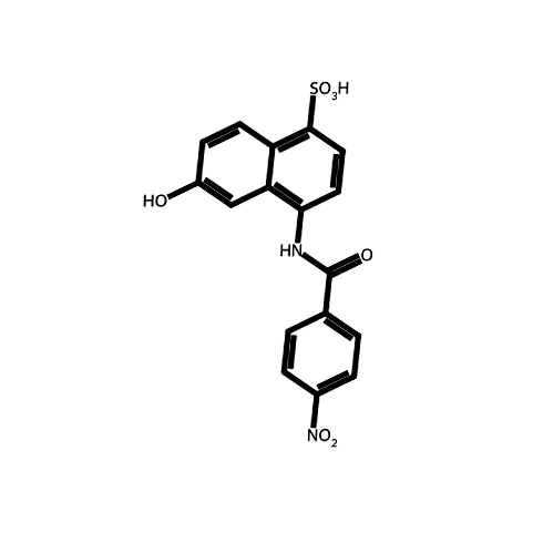 O=C(Nc1ccc(S(=O)(=O)O)c2ccc(O)cc12)c1ccc([N+](=O)[O-])cc1